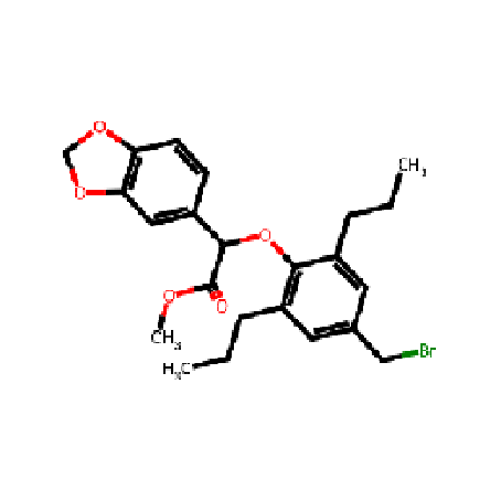 CCCc1cc(CBr)cc(CCC)c1OC(C(=O)OC)c1ccc2c(c1)OCO2